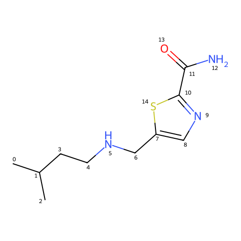 CC(C)CCNCc1cnc(C(N)=O)s1